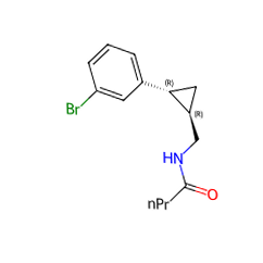 CCCC(=O)NC[C@@H]1C[C@H]1c1cccc(Br)c1